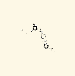 CC[C@H]1CN(c2nc3ccc(C(F)(F)F)cc3s2)CCN1CCOc1cc(C)cc(CC(=O)O)c1